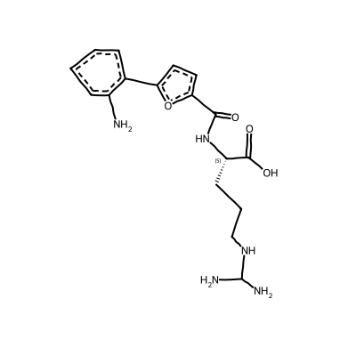 Nc1ccccc1-c1ccc(C(=O)N[C@@H](CCCNC(N)N)C(=O)O)o1